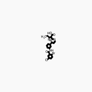 CCc1nn2c(-c3cccc(NC(=O)c4cc(Cl)ccc4Br)c3)ccnc2c1C(=O)O